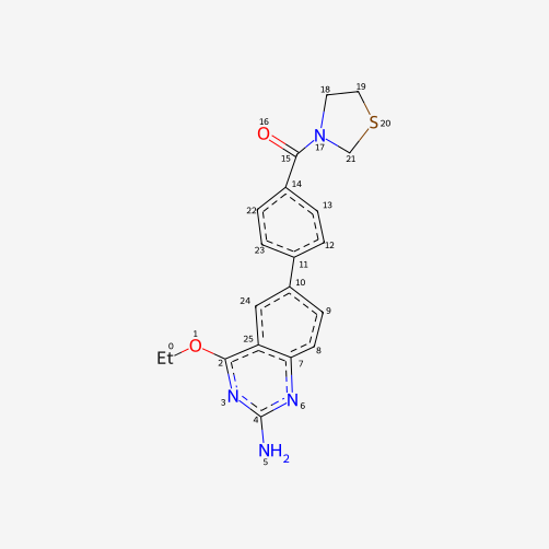 CCOc1nc(N)nc2ccc(-c3ccc(C(=O)N4CCSC4)cc3)cc12